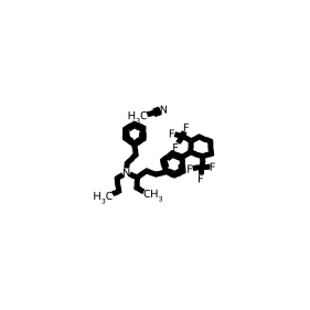 CC#N.CCCN(CCc1ccccc1)C(CC)CCc1ccc(C2C(C(F)(F)F)CCCC2C(F)(F)F)cc1